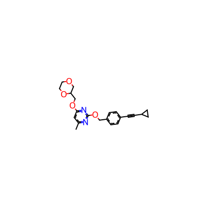 Cc1cc(OCC2COCCO2)nc(OCc2ccc(C#CC3CC3)cc2)n1